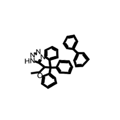 CC(=O)C(c1nnn[nH]1)C(c1ccccc1)(c1ccccc1)c1ccccc1.c1ccc(-c2ccccc2)cc1